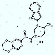 CN1CC[C@@H](NC(=O)c2ccc3c(c2)OCCO3)C[C@@H]1c1nc2ccccc2[nH]1.Cl